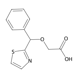 O=C(O)COC(c1ccccc1)c1nccs1